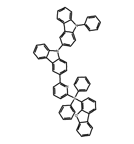 c1ccc(-n2c3ccccc3c3cc(-n4c5ccccc5c5cc(-c6cccc([Si](c7ccccc7)(c7ccccc7)c7cccc8c7oc7ccccc78)n6)ccc54)ccc32)cc1